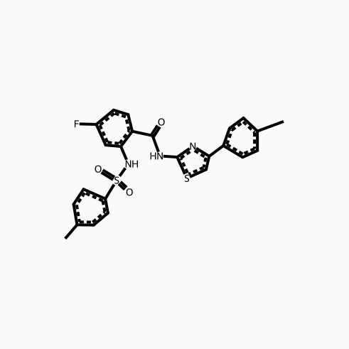 Cc1ccc(-c2csc(NC(=O)c3ccc(F)cc3NS(=O)(=O)c3ccc(C)cc3)n2)cc1